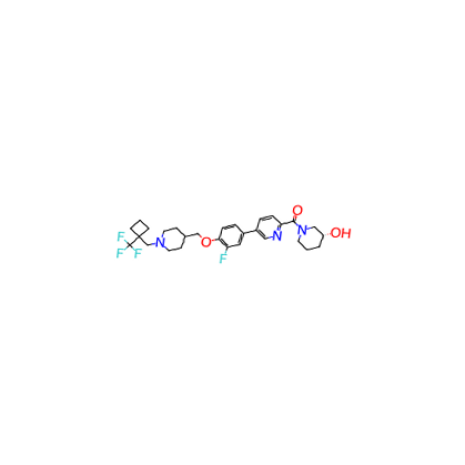 O=C(c1ccc(-c2ccc(OCC3CCN(CC4(C(F)(F)F)CCC4)CC3)c(F)c2)cn1)N1CCC[C@@H](O)C1